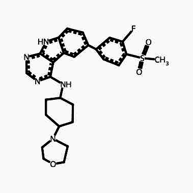 CS(=O)(=O)c1ccc(-c2ccc3[nH]c4ncnc(NC5CCC(N6CCOCC6)CC5)c4c3c2)cc1F